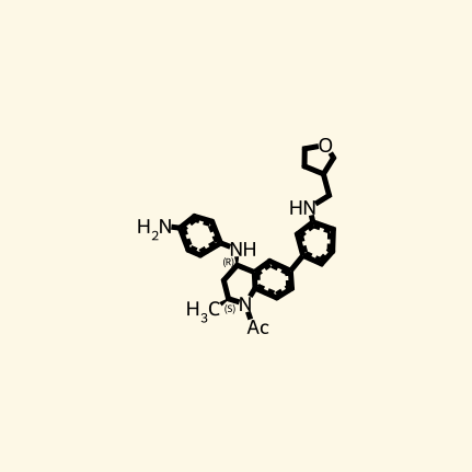 CC(=O)N1c2ccc(-c3cccc(NCC4CCOC4)c3)cc2[C@H](Nc2ccc(N)cc2)C[C@@H]1C